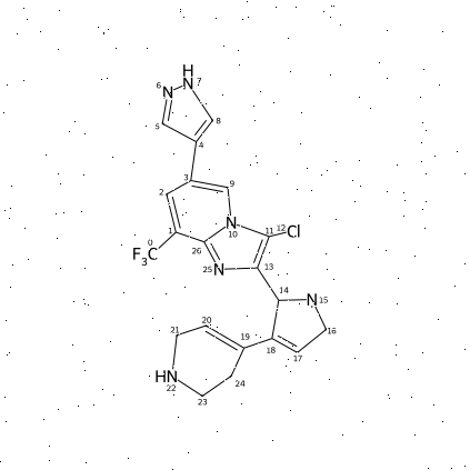 FC(F)(F)c1cc(-c2cn[nH]c2)cn2c(Cl)c(C3[N]CC=C3C3=CCNCC3)nc12